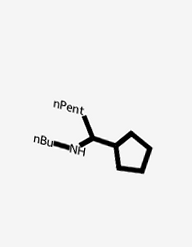 CCCCCC(NCCCC)C1CCCC1